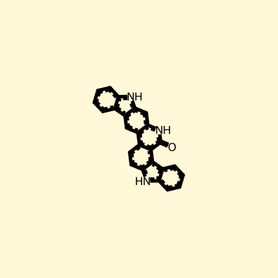 O=c1[nH]c2cc3[nH]c4ccccc4c3cc2c2ccc3[nH]c4ccccc4c3c12